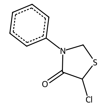 O=C1C(Cl)SCN1c1ccccc1